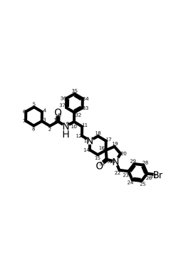 O=C(CC1CCCCC1)NC(CCN1CCC2(CC1)CCN(Cc1ccc(Br)cc1)C2=O)c1ccccc1